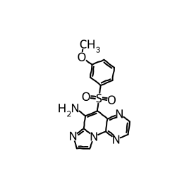 COc1cccc(S(=O)(=O)c2c(N)c3nccn3c3nccnc23)c1